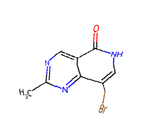 Cc1ncc2c(=O)[nH]cc(Br)c2n1